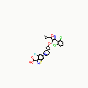 O=C(O)c1nsc2cc(N3C4CCC3C3(CC(OCc5c(-c6c(Cl)cccc6Cl)noc5C5CC5)C3)C4)cc(F)c12